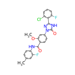 COc1cc(-n2nc(-c3c(F)cccc3Cl)[nH]c2=O)ccc1C(=O)Nc1ccc(C)cc1F